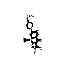 CON=C1CCN(c2cc3c(cc2F)c(=O)c2c(=O)[nH]sc2n3C2CC2)CC1